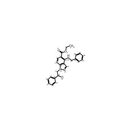 CCOC(=O)c1cnc2c(cnn2CC(Cl)c2ccccc2)c1NCc1ccccc1